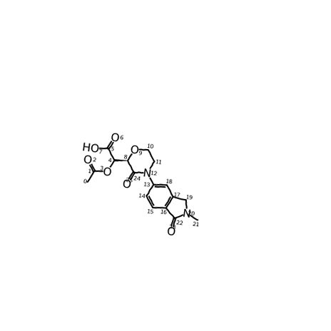 CC(=O)OC(C(=O)O)[C@H]1OCCN(c2ccc3c(c2)CN(C)C3=O)C1=O